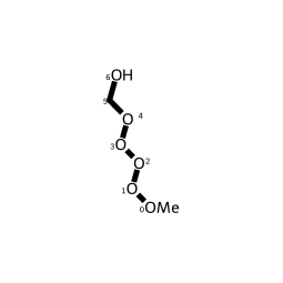 COOOOOCO